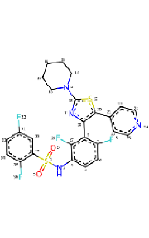 O=S(=O)(Nc1ccc(F)c(-c2nc(N3CCCCC3)sc2-c2ccncc2)c1F)c1cc(F)ccc1F